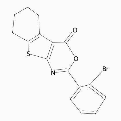 O=c1oc(-c2ccccc2Br)nc2sc3c(c12)CCCC3